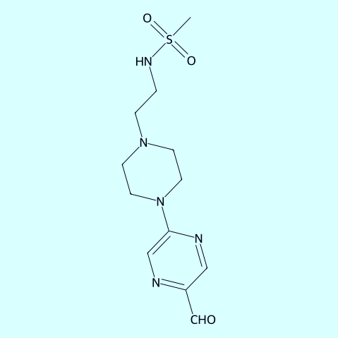 CS(=O)(=O)NCCN1CCN(c2cnc(C=O)cn2)CC1